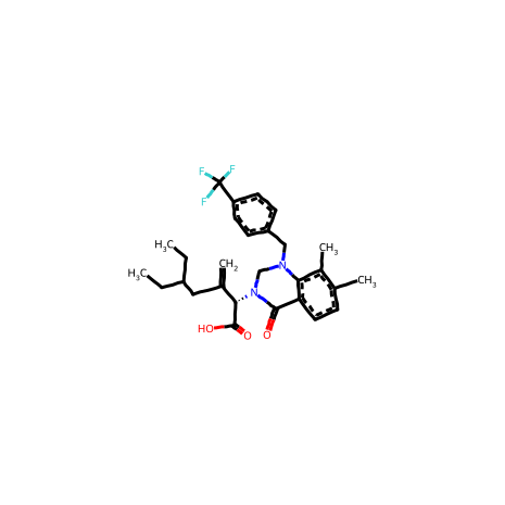 C=C(CC(CC)CC)[C@@H](C(=O)O)N1CN(Cc2ccc(C(F)(F)F)cc2)c2c(ccc(C)c2C)C1=O